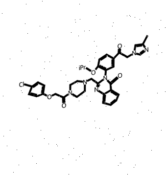 Cc1cn(CC(=O)c2ccc(OC(C)C)c(-n3c(CN4CCN(C(=O)COc5ccc(Cl)cc5)CC4)nc4ccccc4c3=O)c2)cn1